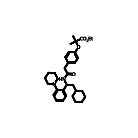 CCOC(=O)C(C)(C)Oc1ccc(CC(=O)NC(CC2CCCCC2)c2ccccc2N2CCCCC2)cc1